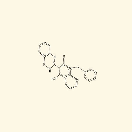 O=c1c(C2=Nc3ccccc3SN2)c(O)c2cccnc2n1Cc1ccccc1